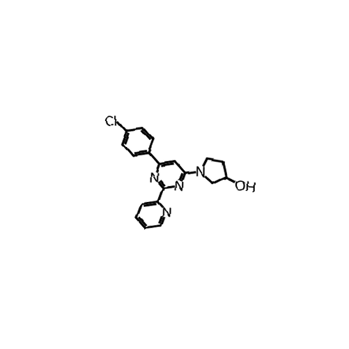 OC1CCN(c2cc(-c3ccc(Cl)cc3)nc(-c3ccccn3)n2)C1